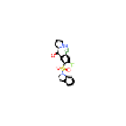 O=C(c1cc(S(=O)(=O)N2CCc3ccccc32)c(F)cc1Cl)[C@H]1CCCN1